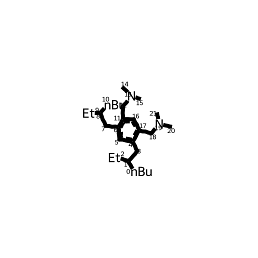 CCCCC(CC)Cc1cc(CC(CC)CCCC)c(CN(C)C)cc1CN(C)C